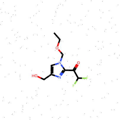 CCOCn1cc(CO)nc1C(=O)C(F)F